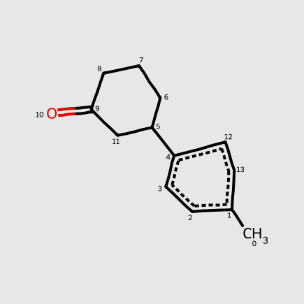 Cc1ccc(C2CCCC(=O)C2)cc1